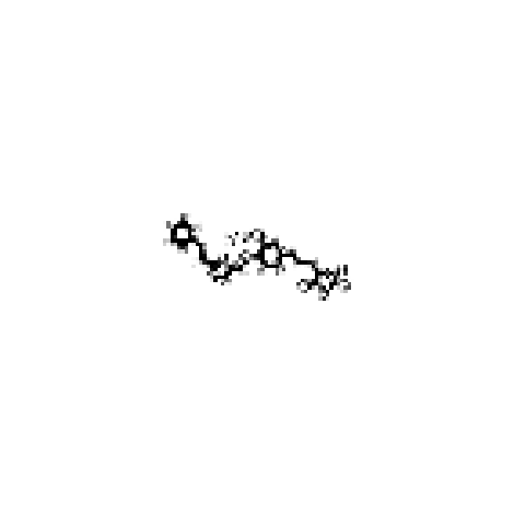 COc1cc(CCCC2NC(=O)OC2=O)ccc1OCc1csc(C=Cc2ccccc2)n1